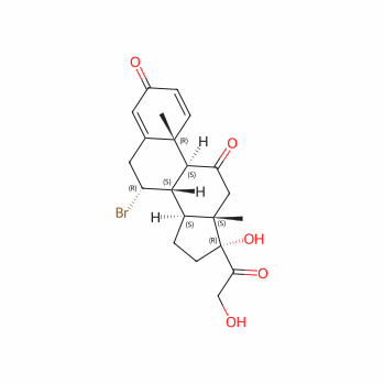 C[C@]12C=CC(=O)C=C1C[C@@H](Br)[C@@H]1[C@@H]2C(=O)C[C@@]2(C)[C@H]1CC[C@]2(O)C(=O)CO